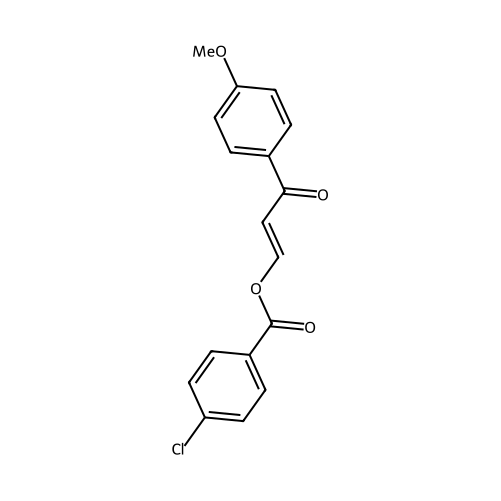 COc1ccc(C(=O)C=COC(=O)c2ccc(Cl)cc2)cc1